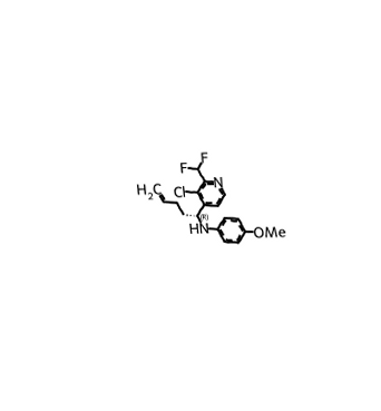 C=CCC[C@@H](Nc1ccc(OC)cc1)c1ccnc(C(F)F)c1Cl